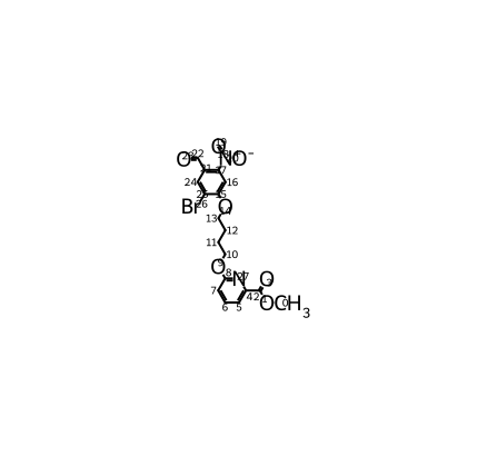 COC(=O)c1cccc(OCCCCOc2cc([N+](=O)[O-])c(C=O)cc2Br)n1